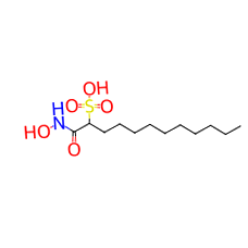 CCCCCCCCCCC(C(=O)NO)S(=O)(=O)O